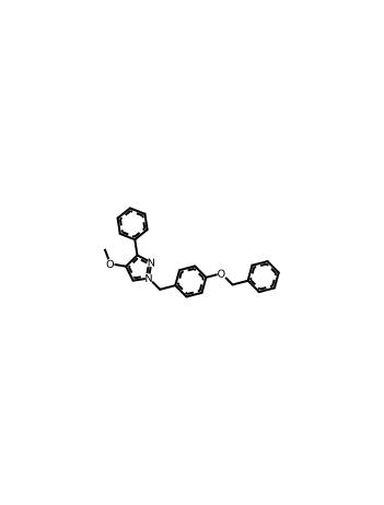 COc1cn(Cc2ccc(OCc3ccccc3)cc2)nc1-c1ccccc1